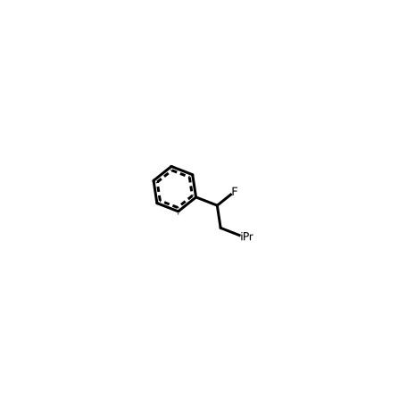 CC(C)CC(F)c1[c]cccc1